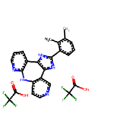 Cc1cccc(-c2nc3c([nH]2)-c2cccnc2Nc2ccncc2-3)c1C.O=C(O)C(F)(F)F.O=C(O)C(F)(F)F